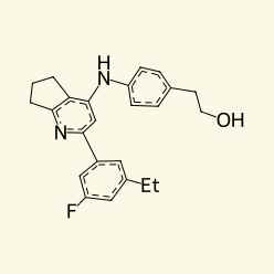 CCc1cc(F)cc(-c2cc(Nc3ccc(CCO)cc3)c3c(n2)CCC3)c1